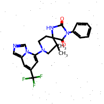 CC1(C)CN(c2cc(C(F)(F)F)cc3cncn23)CCC12NC(=O)N(c1ccccc1)C2=O